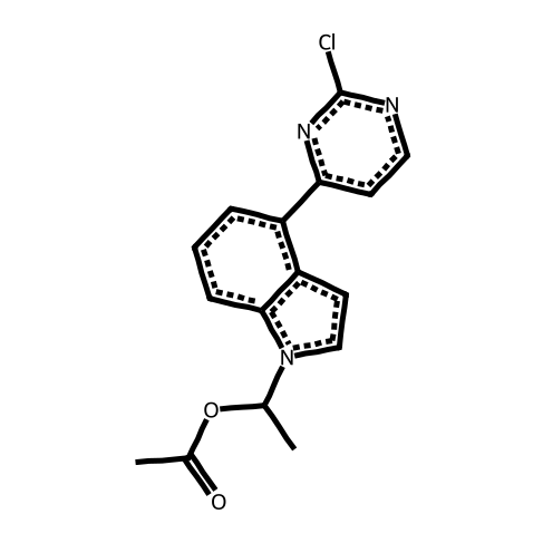 CC(=O)OC(C)n1ccc2c(-c3ccnc(Cl)n3)cccc21